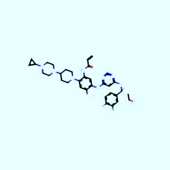 C=CC(=O)Nc1cc(Nc2cc(N[C@H](CCO)c3ccc(F)c(Cl)c3)ncn2)c(OC)cc1N1CCC(N2CCN(C3CC3)[C@@H](C)C2)CC1